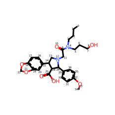 CCCCN(CCCO)C(=O)CN1CC(c2ccc3c(c2)OCO3)C(C(=O)O)C1c1ccc(OC)cc1